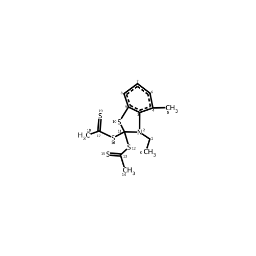 CCN1c2c(C)cccc2SC1(SC(C)=S)SC(C)=S